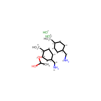 CC(O)O.Cl.Cl.NCC1CCC(C(=O)O)CC1.NCC1CCC(C(=O)O)CC1